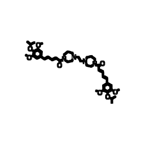 COc1cc(C=CC=CC(=O)N2CCCN(CCN3CCCN(C(=O)C=CC=Cc4cc(OC)c(OC(C)C)c(OC)c4)CC3)CC2)cc(OC)c1OC(C)C